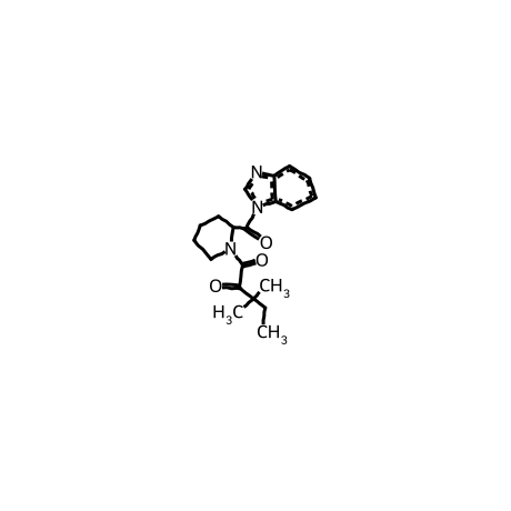 CCC(C)(C)C(=O)C(=O)N1CCCCC1C(=O)n1cnc2ccccc21